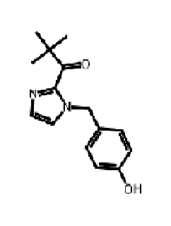 CC(C)(C)C(=O)c1nccn1Cc1ccc(O)cc1